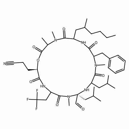 CCCCC(C)CC1NC(=O)C(Cc2ccccc2)N(C)C(=O)C(CC(C)C)N[C@](C=O)(CC(C)C)N(C)C(=O)C(CC(F)(F)F)NC(=O)[C@@H](CCC#N)OC(=O)C(C)N(C)C1=O